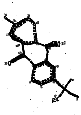 CCC(C)(C)c1ccc2c(c1)C(=O)c1ccc(C)cc1C2=O